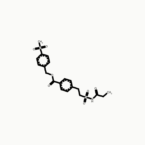 CCC(=O)NS(=O)(=O)CCc1ccc(C(=O)OCc2ccc(S(C)(=O)=O)cc2)cc1